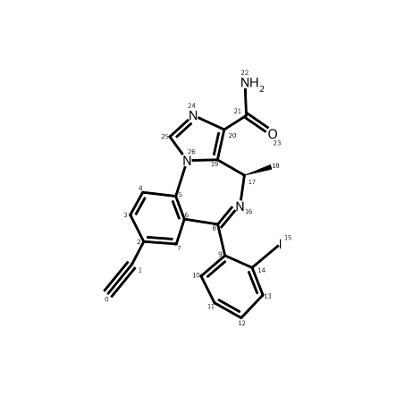 C#Cc1ccc2c(c1)C(c1ccccc1I)=N[C@H](C)c1c(C(N)=O)ncn1-2